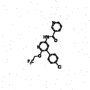 O=C(Nc1cnc(OCC(F)(F)F)c(-c2ccc(Cl)cc2)c1)c1cccnc1